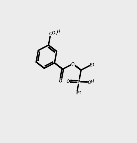 CCC(OC(=O)c1cccc(C(=O)O)c1)P(=O)(O)C(C)C